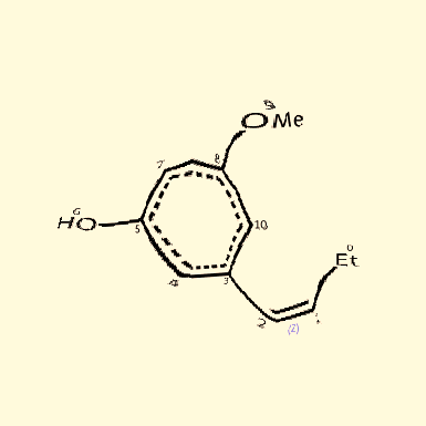 CC/C=C\c1cc(O)cc(OC)c1